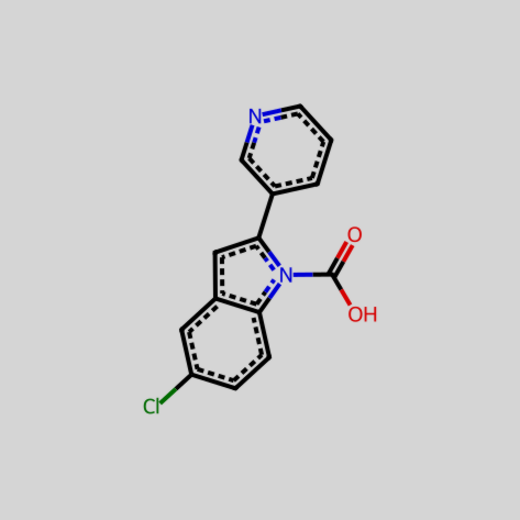 O=C(O)n1c(-c2cccnc2)cc2cc(Cl)ccc21